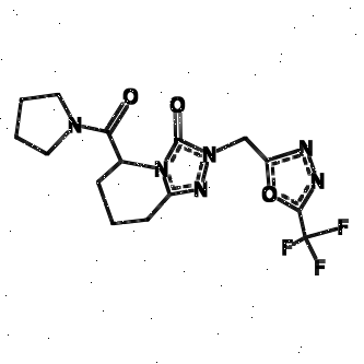 O=C(C1CCCc2nn(Cc3nnc(C(F)(F)F)o3)c(=O)n21)N1CCCC1